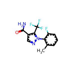 Cc1cccc(F)c1-n1ncc(C(N)=O)c1C(F)(F)F